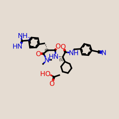 CC(=O)O.CN(C)C(=O)[C@H](Cc1ccc(C(=N)N)cc1)C(=O)N[C@H](C(=O)NCc1ccc(C#N)cc1)C1CCCCC1